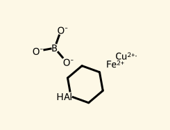 C1C[CH2][AlH][CH2]C1.[Cu+2].[Fe+2].[O-]B([O-])[O-]